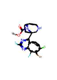 CC(C)(C)OC(=O)N1C2CCC1(c1nc(F)nc3c(F)c(Br)c(Cl)cc13)CNC2